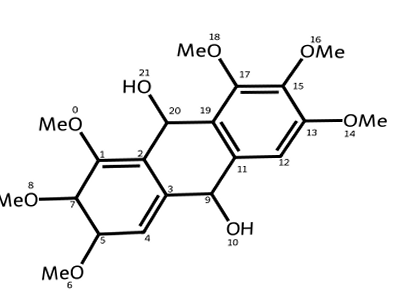 COC1=C2C(=CC(OC)C1OC)C(O)c1cc(OC)c(OC)c(OC)c1C2O